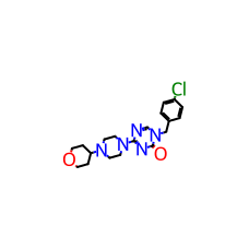 O=c1nc(N2CCN(C3CCOCC3)CC2)ncn1Cc1ccc(Cl)cc1